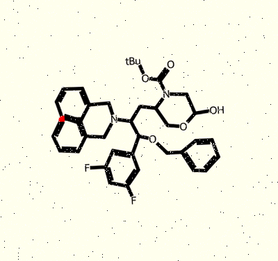 CC(C)(C)OC(=O)N1CC(O)OCC1CC(C(OCc1ccccc1)c1cc(F)cc(F)c1)N(Cc1ccccc1)Cc1ccccc1